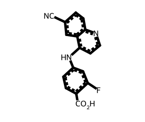 N#Cc1ccc2nccc(Nc3ccc(C(=O)O)c(F)c3)c2c1